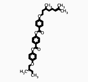 CC[C@H](C)COc1ccc(OC(=O)c2ccc(OC(=O)c3ccc(OCCC(C)CCC=C(C)C)cc3)cc2)cc1